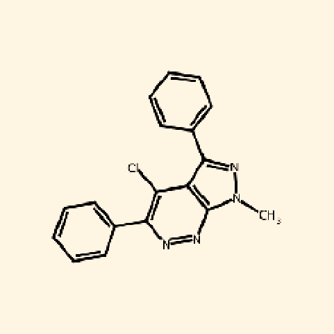 Cn1nc(-c2ccccc2)c2c(Cl)c(-c3ccccc3)nnc21